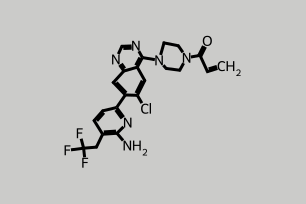 C=CC(=O)N1CCN(c2ncnc3cc(-c4ccc(CC(F)(F)F)c(N)n4)c(Cl)cc23)CC1